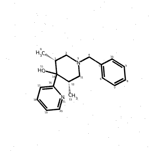 C[C@@H]1CN(Cc2ccccc2)C[C@H](C)C1(O)c1ccccn1